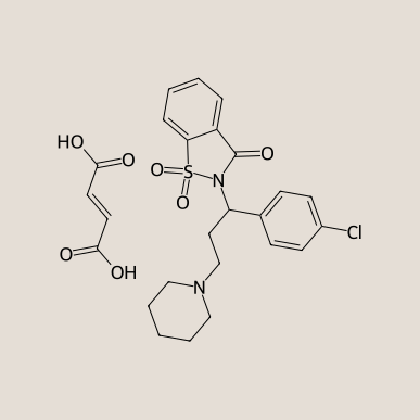 O=C(O)C=CC(=O)O.O=C1c2ccccc2S(=O)(=O)N1C(CCN1CCCCC1)c1ccc(Cl)cc1